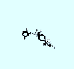 Cc1ccc(C)c(NC[C@@H]2C(F)(F)C23CCN(S(N)(=O)=O)CC3)c1